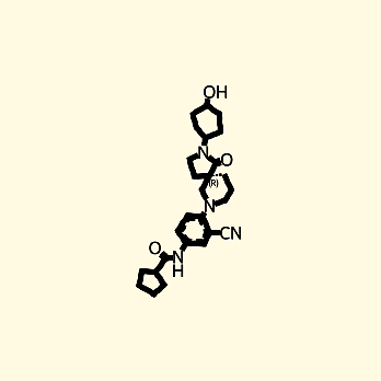 N#Cc1cc(NC(=O)C2CCCC2)ccc1N1CCC[C@@]2(CCN(C3CCC(O)CC3)C2=O)C1